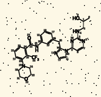 CC(O)CNc1nccc(-n2ccnc2Cc2cccc(NC(=O)c3cccc(N4CCOCC4)c3C(F)(F)F)c2)n1